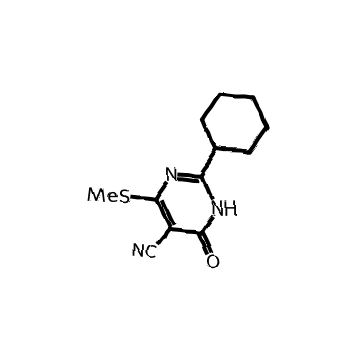 CSc1nc(C2CCCCC2)[nH]c(=O)c1C#N